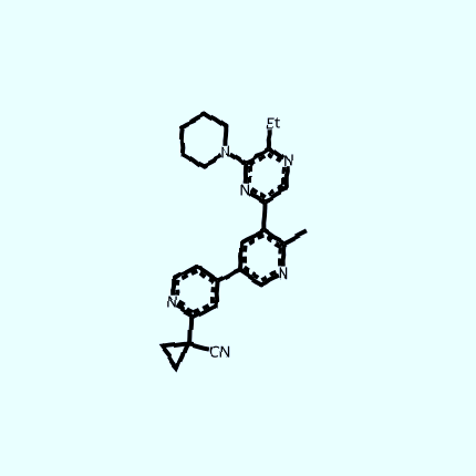 CCc1ncc(-c2cc(-c3ccnc(C4(C#N)CC4)c3)cnc2C)nc1N1CCCCC1